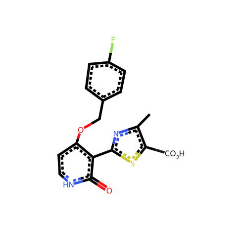 Cc1nc(-c2c(OCc3ccc(F)cc3)cc[nH]c2=O)sc1C(=O)O